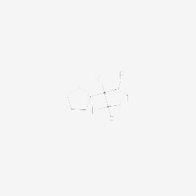 F[C](F)C(F)(C1C[CH]CC1)C(F)(F)F